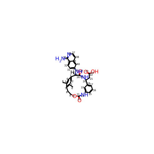 Cc1cc2cc(C)c1CCOC(=O)Nc1cccc(c1)C(CC(=O)O)NC(=O)[C@@H]2Nc1ccc2c(N)nccc2c1